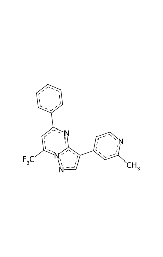 Cc1cc(-c2cnn3c(C(F)(F)F)cc(-c4ccccc4)nc23)ccn1